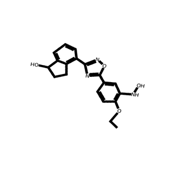 CCOc1ccc(-c2nc(-c3cccc4c3CCC4O)no2)cc1NO